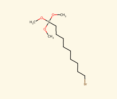 CO[Si](CCCCCCCCCBr)(OC)OC